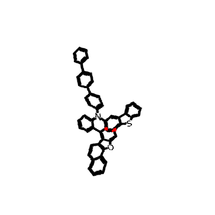 c1ccc(-c2ccc(-c3ccc(N(c4ccc5sc6ccccc6c5c4)c4ccccc4-c4cccc5oc6c7ccccc7ccc6c45)cc3)cc2)cc1